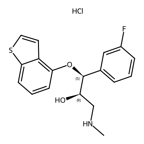 CNC[C@@H](O)[C@@H](Oc1cccc2sccc12)c1cccc(F)c1.Cl